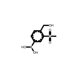 CS(=O)(=O)c1cc(B(O)O)ccc1CO